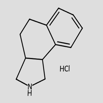 Cl.c1ccc2c(c1)CCC1CNCC21